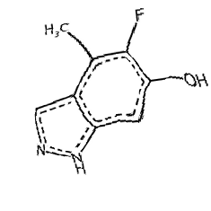 Cc1c(F)c(O)cc2[nH]ncc12